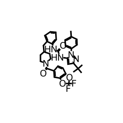 Cc1ccc(-n2nc(C(C)(C)C)cc2NC(=O)Nc2ccccc2CC2CCN(C(=O)c3ccc4c(c3)OC(F)(F)O4)CC2)cc1